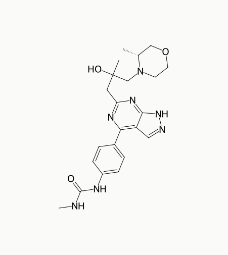 CNC(=O)Nc1ccc(-c2nc(CC(C)(O)CN3CCOC[C@H]3C)nc3[nH]ncc23)cc1